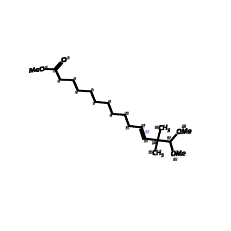 COC(=O)CCCCCCCCC/C=C/C(C)(C)C(OC)OC